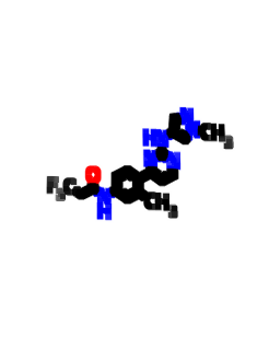 Cc1cc(NC(=O)CC(F)(F)F)ccc1-c1ccnc(Nc2cnn(C)c2)n1